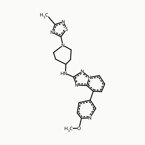 COc1ccc(-c2cccn3nc(NC4CCN(c5nc(C)ns5)CC4)nc23)cn1